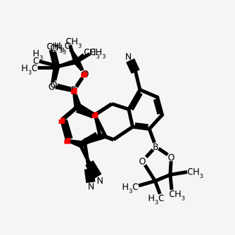 CC1(C)OB(c2ccc(C#N)c3c2C2c4c(C#N)ccc(B5OC(C)(C)C(C)(C)O5)c4C3c3c(B4OC(C)(C)C(C)(C)O4)ccc(C#N)c32)OC1(C)C